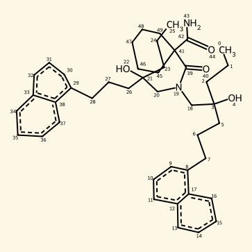 CCCC(O)(CCCc1cccc2ccccc12)CN(CC(O)(CCC)CCCc1cccc2ccccc12)C(=O)C1(C(N)=O)CCCCC1